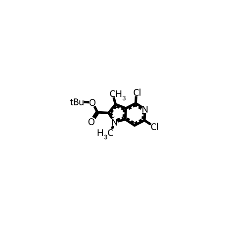 Cc1c(C(=O)OC(C)(C)C)n(C)c2cc(Cl)nc(Cl)c12